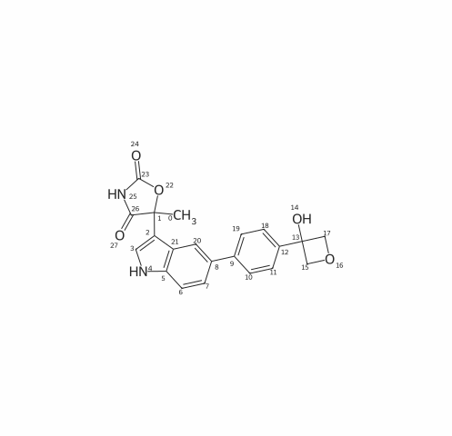 CC1(c2c[nH]c3ccc(-c4ccc(C5(O)COC5)cc4)cc23)OC(=O)NC1=O